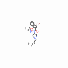 CCCCN1CCC(NC(=O)c2cc(Br)c3ccccc3c2OC)CC1